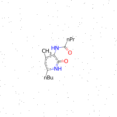 CCCCc1cc(C)c(NC(=O)CCC)c(=O)[nH]1